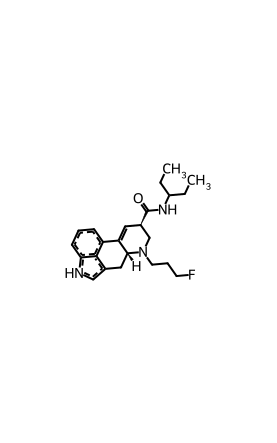 CCC(CC)NC(=O)[C@@H]1C=C2c3cccc4[nH]cc(c34)C[C@H]2N(CCCF)C1